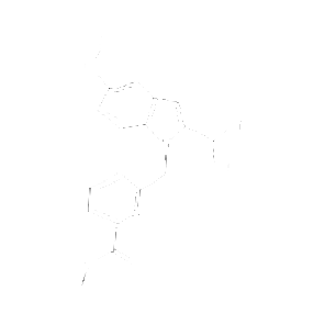 COC(=O)c1cccc(Cn2c(C(C)C)cc3cc(OC)ccc32)n1